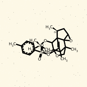 COC12OCC3(C)C1(C)C(OS(=O)(=O)c1ccc(C)cc1)=CC1(C2O[Si](C)(C)C)[C@@H](C)CC2OC213